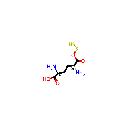 N[C@H](CC[C@H](N)C(=O)O)C(=O)OSS